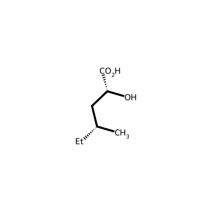 CC[C@@H](C)C[C@@H](O)C(=O)O